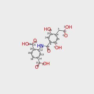 O=C(O)Cc1cc(O)c(C(=O)Nc2cc(C(=O)O)ccc2C(=O)O)cc1O